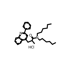 CCCCCCN(CCCCCC)C(=O)C(C)Cc1cc(-c2ccccc2)nc2ccccc12.Cl